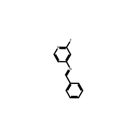 Fc1cc(N=Cc2ccccc2)ccn1